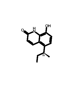 CC[C@H](C)c1ccc(O)c2[nH]c(=O)ccc12